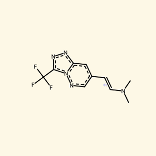 CN(C)/C=C/c1cnn2c(C(F)(F)F)nnc2c1